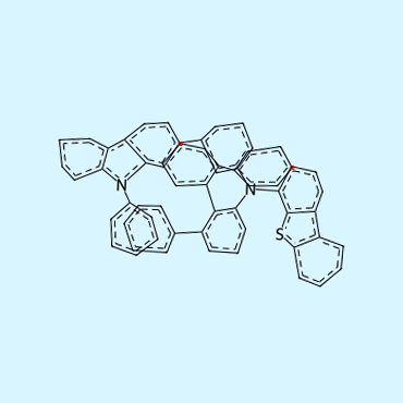 c1ccc(-c2ccccc2-c2c(-c3ccccc3)cccc2N(c2cccc(-c3ccc4c5ccccc5n(-c5ccccc5)c4c3)c2)c2cccc3c2sc2ccccc23)cc1